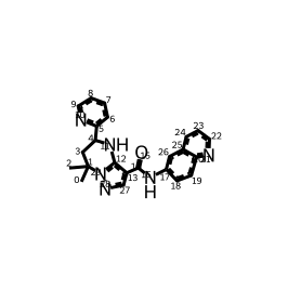 CC1(C)CC(c2ccccn2)Nc2c(C(=O)Nc3ccc4ncccc4c3)cnn21